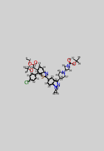 CCOC(=O)[C@@H](OC(C)(C)C)c1c(C)cc2nc(-c3ccc4c(c3)c(C3CCN(C5CN(C(=O)OC(C)(C)C)C5)CC3)nn4C3CC3)sc2c1-c1ccc(Cl)cc1